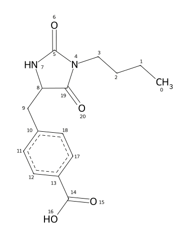 CCCCN1C(=O)NC(Cc2ccc(C(=O)O)cc2)C1=O